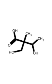 CC(O)C(C)(CO)C(=O)O